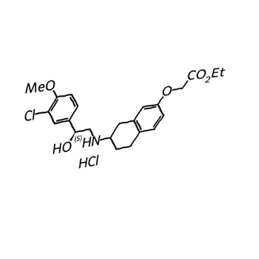 CCOC(=O)COc1ccc2c(c1)CC(NC[C@@H](O)c1ccc(OC)c(Cl)c1)CC2.Cl